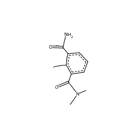 Cc1c(C(N)=O)cccc1C(=O)N(C)C